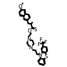 COc1ccc2cc(CC(C)C(=S)OCCN3CCN(CCCN4c5ccccc5Sc5ccc(C(F)(F)F)cc54)CC3)ccc2c1